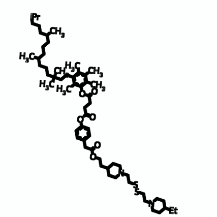 CCC1CCN(CCSSCCN2CCC(CCOC(=O)Cc3ccc(OC(=O)CCC(=O)Oc4c(C)c(C)c(C)c(CCC(C)(C)CCCC(C)CCCC(C)CCCC(C)C)c4C)cc3)CC2)CC1